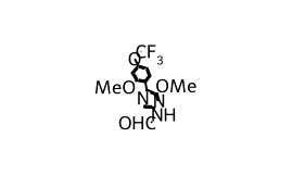 COc1cc(OC(F)(F)F)ccc1-c1ncc(NC=O)nc1OC